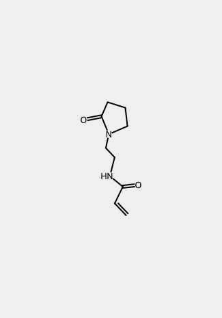 C=CC(=O)NCCN1CCCC1=O